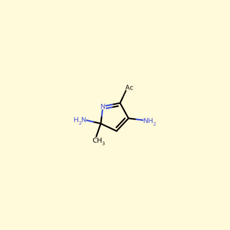 CC(=O)C1=NC(C)(N)C=C1N